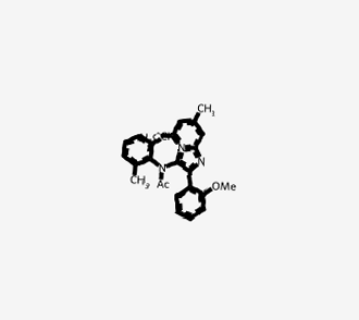 COc1ccccc1-c1nc2cc(C)cc(C)n2c1N(C(C)=O)c1c(C)cccc1C